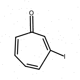 O=c1ccccc(I)c1